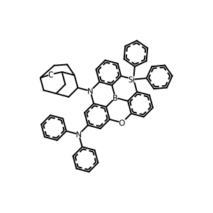 c1ccc(N(c2ccccc2)c2cc3c4c(c2)N(C2CC5CC6CCC2C(C6)C5)c2cccc5c2B4c2c(cccc2[Si]5(c2ccccc2)c2ccccc2)O3)cc1